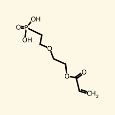 C=CC(=O)OCCOCCP(=O)(O)O